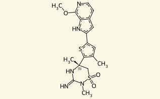 COc1nccc2cc(-c3cc(C)c([C@]4(C)CS(=O)(=O)N(C)C(=N)N4)s3)[nH]c12